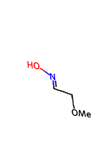 COC/C=N/O